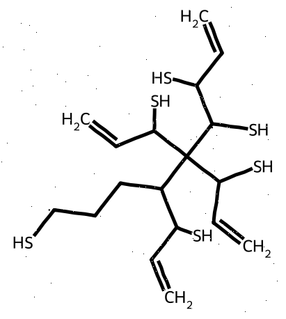 C=CC(S)[C](S)C(C(S)C=C)(C(S)C=C)C(CC[CH]S)C(S)C=C